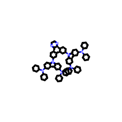 c1ccc(N(c2ccccc2)c2ccc3c(c2)c2cc(N(c4ccccc4)c4ccccc4)ccc2n3-c2ccc3c(c2)c2cc(-n4c5ccc(N(c6ccccc6)c6ccccc6)cc5c5cc(N(c6ccccc6)c6ccccc6)ccc54)ccc2c2nccnc32)cc1